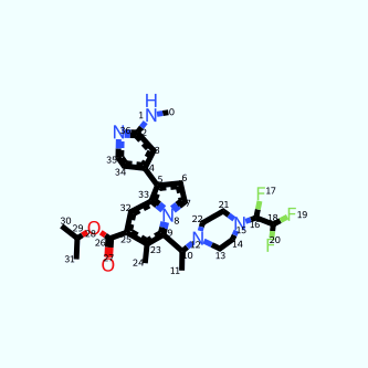 CNc1cc(-c2ccn3c(C(C)N4CCN(C(F)C(F)F)CC4)c(C)c(C(=O)OC(C)C)cc23)ccn1